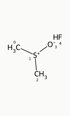 C[S+](C)[O-].F